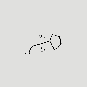 CC(C)(CO)C1CSCO1